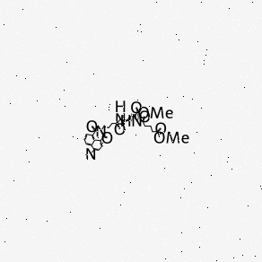 COC(=O)CCCC(=O)N[C@H](CCNC(=O)CCCN1C(=O)c2cccc3c(N(C)C)ccc(c23)C1=O)C(=O)OC